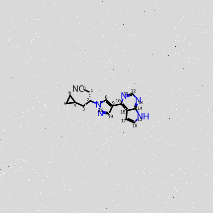 N#CC[C@@H](CC1CC1)n1cc(-c2ncnc3[nH]ccc23)cn1